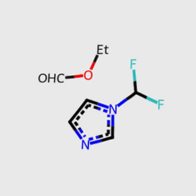 CCOC=O.FC(F)n1ccnc1